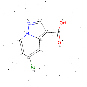 O=C(O)c1cnn2ccc(Br)cc12